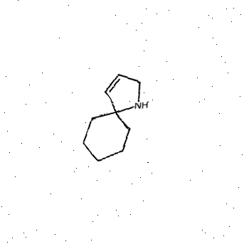 C1=CC2(CCCCC2)NC1